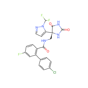 O=C1NC(=O)[C@@](CNC(=O)c2ccc(F)cc2-c2ccc(Cl)cc2)(c2ccnn2C(F)F)N1